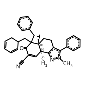 Cn1nc2c(c1-c1ccccc1)CC[C@H]1C(Cc3ccccc3)(CC3C=CC=CC3)C(=O)C(C#N)=C[C@]21C